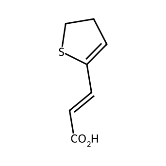 O=C(O)C=CC1=CCCS1